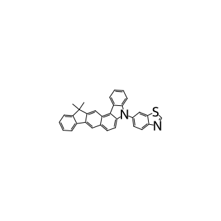 CC1(C)c2ccccc2-c2cc3ccc4c(c3cc21)c1ccccc1n4-c1ccc2ncsc2c1